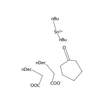 CCCCCCCCCCCC(=O)[O-].CCCCCCCCCCCC(=O)[O-].CCC[CH2][Sn+2][CH2]CCC.O=C1CCCCC1